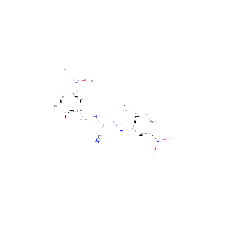 N#CC(/N=N/c1cc([N+](=O)[O-])ccc1O)=N\Nc1cc([N+](=O)[O-])ccc1O